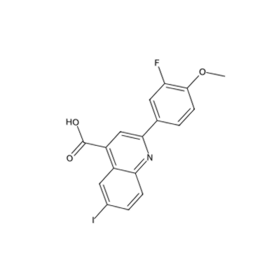 COc1ccc(-c2cc(C(=O)O)c3cc(I)ccc3n2)cc1F